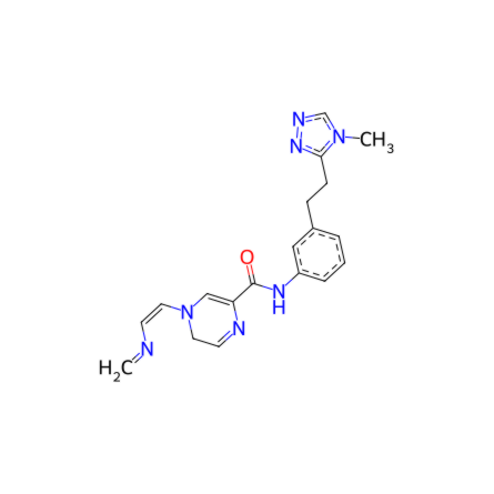 C=N/C=C\N1C=C(C(=O)Nc2cccc(CCc3nncn3C)c2)N=CC1